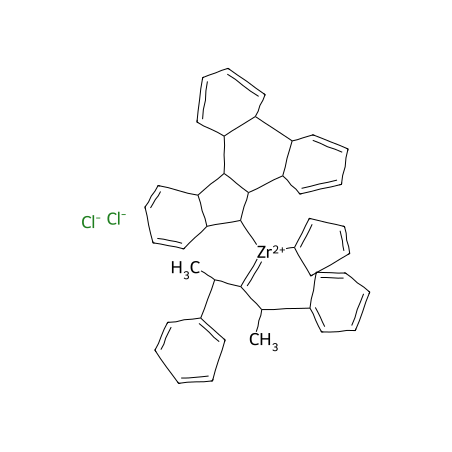 CC([C](C(C)c1ccccc1)=[Zr+2]([C]1=CC=CC1)[CH]1C2C=CC=CC2C2C3C=CC=CC3C3C=CC=CC3C21)c1ccccc1.[Cl-].[Cl-]